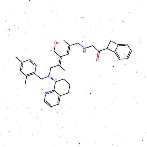 C/C(CN(Cc1ncc(C)cc1C)[C@H]1CCCc2cccnc21)=C(\C=C(/C)CNCC(=O)C1Cc2ccccc21)CO